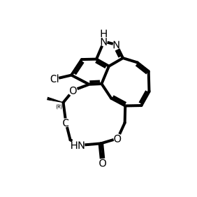 C[C@@H]1CCNC(=O)OCC2=Cc3c(c(Cl)cc4[nH]nc(c34)C=CC=C2)O1